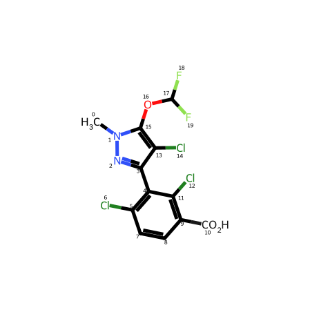 Cn1nc(-c2c(Cl)ccc(C(=O)O)c2Cl)c(Cl)c1OC(F)F